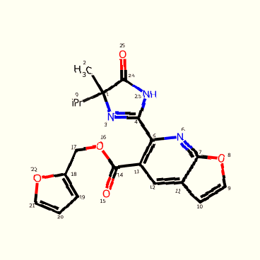 CC(C)C1(C)N=C(c2nc3occc3cc2C(=O)OCc2ccco2)NC1=O